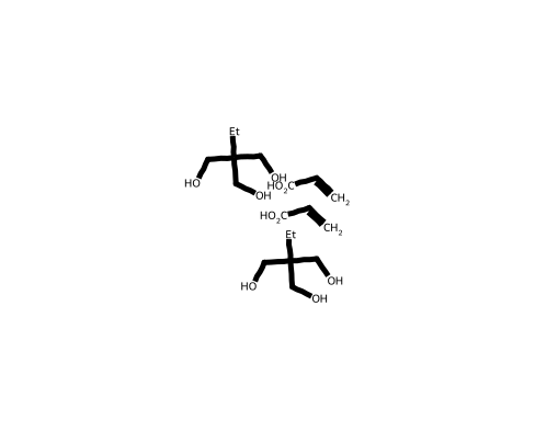 C=CC(=O)O.C=CC(=O)O.CCC(CO)(CO)CO.CCC(CO)(CO)CO